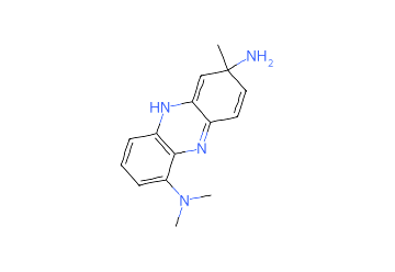 CN(C)c1cccc2c1N=C1C=CC(C)(N)C=C1N2